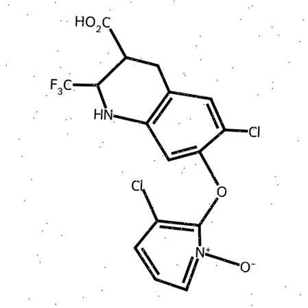 O=C(O)C1Cc2cc(Cl)c(Oc3c(Cl)ccc[n+]3[O-])cc2NC1C(F)(F)F